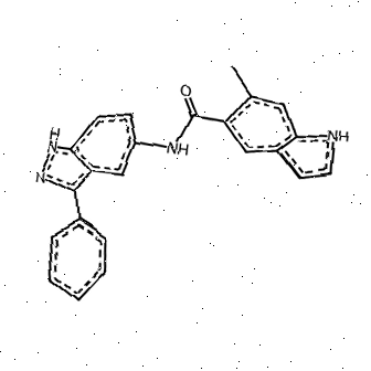 Cc1cc2[nH]ccc2cc1C(=O)Nc1ccc2[nH]nc(-c3ccccc3)c2c1